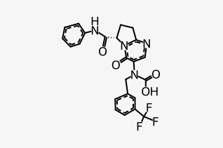 O=C(Nc1ccccc1)[C@@H]1CCc2ncc(N(Cc3cccc(C(F)(F)F)c3)C(=O)O)c(=O)n21